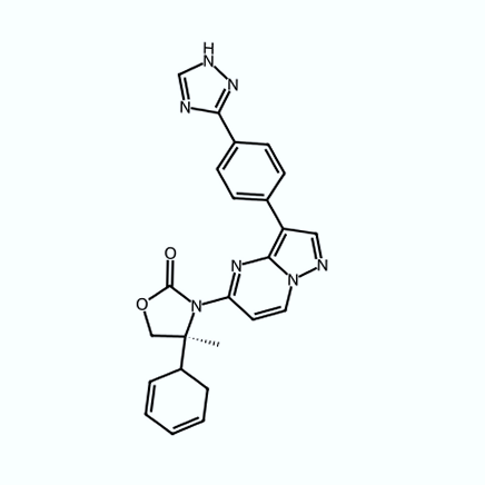 C[C@]1(C2C=CC=CC2)COC(=O)N1c1ccn2ncc(-c3ccc(-c4nc[nH]n4)cc3)c2n1